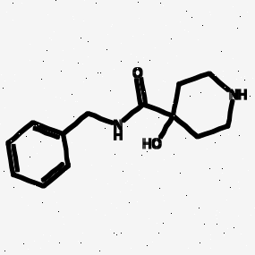 O=C(NCc1ccccc1)C1(O)CCNCC1